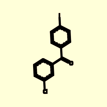 O=C(c1ccc(I)cc1)c1cccc(Cl)c1